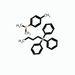 CCCC[B-](c1ccccc1)(c1ccccc1)c1ccccc1.Cc1ccc([S+](C)C)cc1